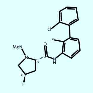 CNN1C[C@H](F)C[C@H]1C(=O)Nc1cccc(-c2ccccc2Cl)c1F